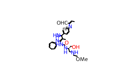 C\C=C(C=O)/N=C(C)/C=C\C(=C/CCC)C(=N)/C(C)=C(/NC(=O)N[C@@H](CO)CNCCOC)NC1=CC=CCC=C1